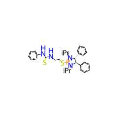 CC(C)N1[C@H](c2ccccc2)[C@@H](c2ccccc2)N(C(C)C)P1SCCNC(=S)Nc1ccccc1